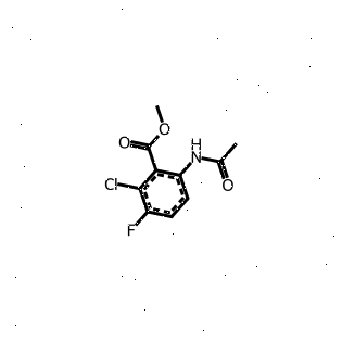 COC(=O)c1c(NC(C)=O)ccc(F)c1Cl